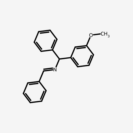 COc1cccc(C(N=Cc2ccccc2)c2ccccc2)c1